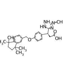 C=N/N=C(\NN)[C@@H](CC(=O)O)c1ccc(OCc2ccc3c(c2)C(C)(C)CCC3(C)C)cc1